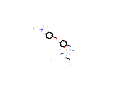 CC(C)CN([C@@H](CC(=O)O)C(=O)O)S(=O)(=O)N(C)Cc1ccc(OC(=O)c2ccc(NC(=N)N)cc2)cc1